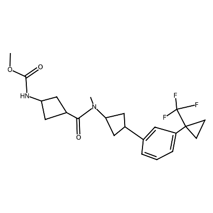 COC(=O)NC1CC(C(=O)N(C)C2CC(c3cccc(C4(C(F)(F)F)CC4)c3)C2)C1